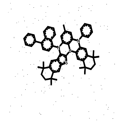 Cc1cc2c3c(c1)N(c1ccc(-c4ccccc4)c4ccccc14)c1c(sc4cc5c(cc14)C(C)(C)CCC5(C)C)B3c1cc3c(cc1N2c1ccccc1)C(C)(C)CCC3(C)C